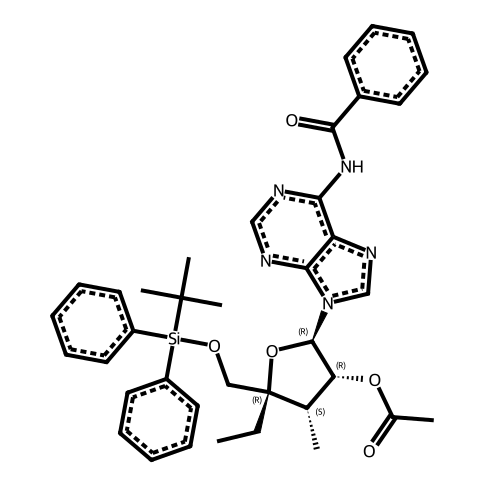 CC[C@@]1(CO[Si](c2ccccc2)(c2ccccc2)C(C)(C)C)O[C@@H](n2cnc3c(NC(=O)c4ccccc4)ncnc32)[C@H](OC(C)=O)[C@@H]1C